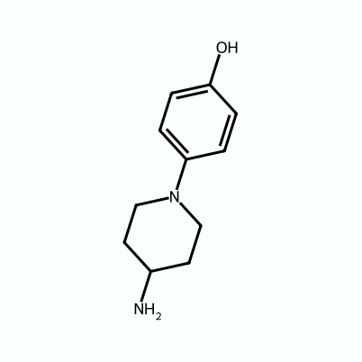 NC1CCN(c2ccc(O)cc2)CC1